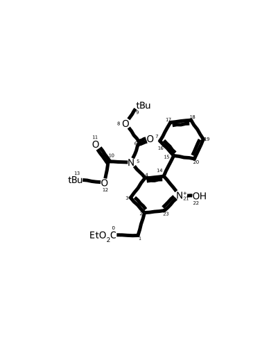 CCOC(=O)Cc1cc(N(C(=O)OC(C)(C)C)C(=O)OC(C)(C)C)c(-c2ccccc2)[n+](O)c1